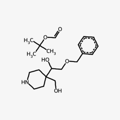 CC(C)(C)OC=O.OCC1(C(O)COCc2ccccc2)CCNCC1